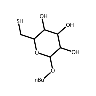 CCCCOC1OC(CS)C(O)C(O)C1O